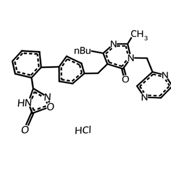 CCCCc1nc(C)n(Cc2cnccn2)c(=O)c1Cc1ccc(-c2ccccc2-c2noc(=O)[nH]2)cc1.Cl